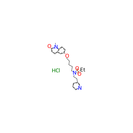 CCS(=O)(=O)N(CCCCCOc1ccc2c(ccc(=O)n2C)c1)CCc1cccnc1.Cl